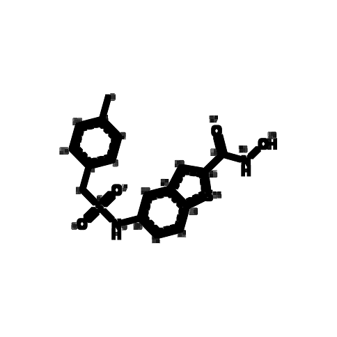 Cc1ccc(CS(=O)(=O)Nc2ccc3sc(C(=O)NO)cc3c2)cc1